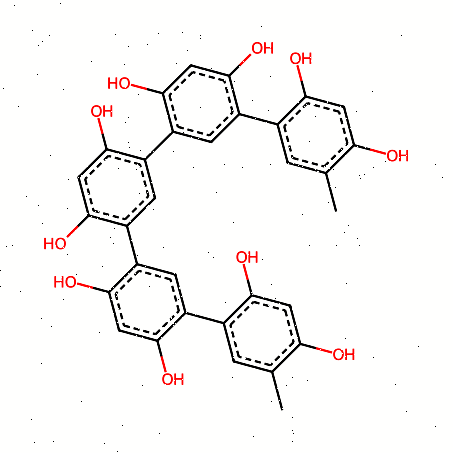 Cc1cc(-c2cc(-c3cc(-c4cc(-c5cc(C)c(O)cc5O)c(O)cc4O)c(O)cc3O)c(O)cc2O)c(O)cc1O